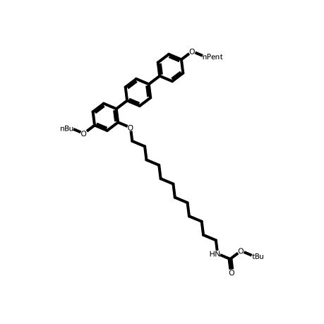 CCCCCOc1ccc(-c2ccc(-c3ccc(OCCCC)cc3OCCCCCCCCCCCCNC(=O)OC(C)(C)C)cc2)cc1